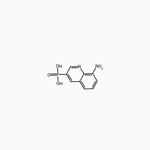 O=[N+]([O-])c1cccc2cc(P(=O)(O)O)cnc12